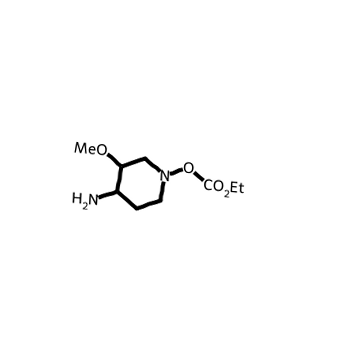 CCOC(=O)ON1CCC(N)C(OC)C1